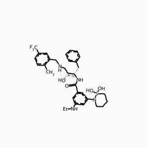 CCNc1cc(C(=O)N[C@@H](Cc2ccccc2)[C@H](O)CNCc2cc(C(F)(F)F)ccc2C)cc(N2CCCCS2(O)O)c1